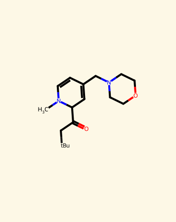 CN1C=CC(CN2CCOCC2)=CC1C(=O)CC(C)(C)C